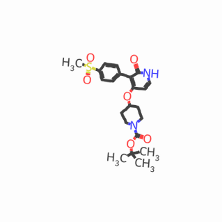 CC(C)(C)OC(=O)N1CCC(Oc2cc[nH]c(=O)c2-c2ccc(S(C)(=O)=O)cc2)CC1